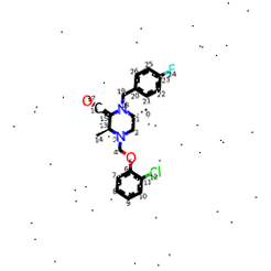 C[C@@H]1CN(COc2ccccc2Cl)[C@@H](C)C(=C=O)N1Cc1ccc(F)cc1